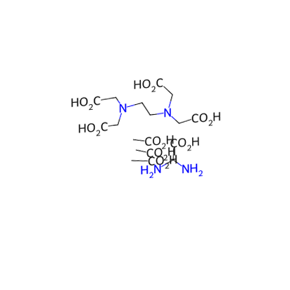 CC(=O)O.CC(=O)O.CC(=O)O.NC(N)C(=O)O.O=C(O)CN(CCN(CC(=O)O)CC(=O)O)CC(=O)O